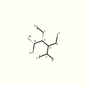 CC(I)C(CI)[C@@H](CI)[C@@H](C)I